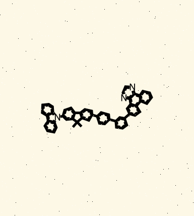 CC1(C)c2cc(-c3ccc(-c4cccc(-c5ccc6c7ccccc7c7nccnc7c6c5)c4)cc3)ccc2-c2ccc(-n3c4ccccc4c4ccccc43)cc21